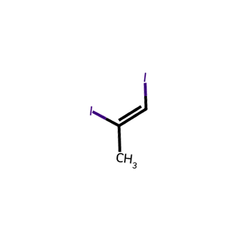 CC(I)=CI